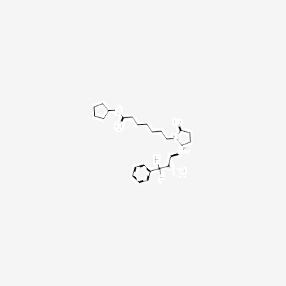 O=C(CCCCCCN1C(=O)CC[C@@H]1C=C[C@@H](O)C(F)(F)c1ccccc1)OC1CCCC1